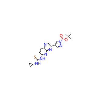 CC(C)(C)OC(=O)n1cc(-c2cnc3ccc(NC(=S)NC4CC4)nc3n2)cn1